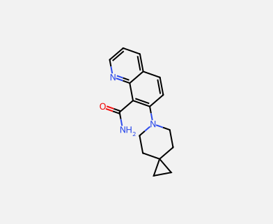 NC(=O)c1c(N2CCC3(CC2)CC3)ccc2cccnc12